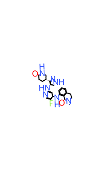 CN1CCc2cccc(Nc3cc(Nc4c[nH]nc4[C@@H]4CCC(=O)NC4)ncc3F)c2C1=O